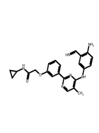 Cc1cnc(-c2cccc(OCC(=O)NC3CC3)c2)nc1Nc1ccc(N)c(C=N)c1